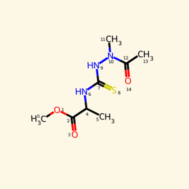 COC(=O)C(C)NC(=S)NN(C)C(C)=O